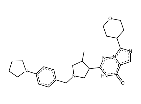 CC1CN(Cc2ccc(N3CCCC3)cc2)CC1c1nn2c(C3CCOCC3)ncc2c(=O)[nH]1